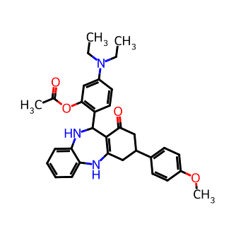 CCN(CC)c1ccc(C2Nc3ccccc3NC3=C2C(=O)CC(c2ccc(OC)cc2)C3)c(OC(C)=O)c1